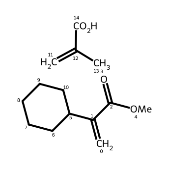 C=C(C(=O)OC)C1CCCCC1.C=C(C)C(=O)O